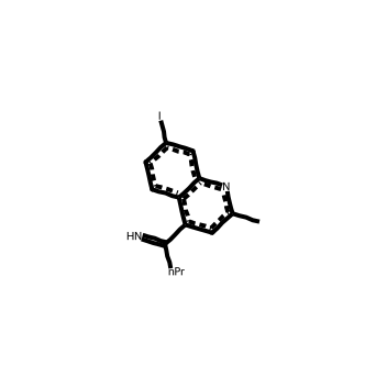 CCCC(=N)c1cc(C)nc2cc(I)ccc12